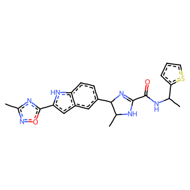 Cc1noc(-c2cc3cc(C4N=C(C(=O)NC(C)c5cccs5)NC4C)ccc3[nH]2)n1